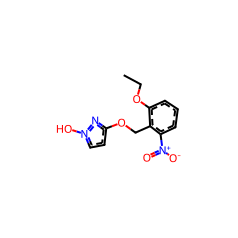 CCOc1cccc([N+](=O)[O-])c1COc1ccn(O)n1